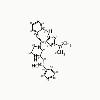 CC(C)c1nc2c(s1)Nc1ccccc1N=C2N1CCNC(C[C@@H](O)c2ccccc2)C1